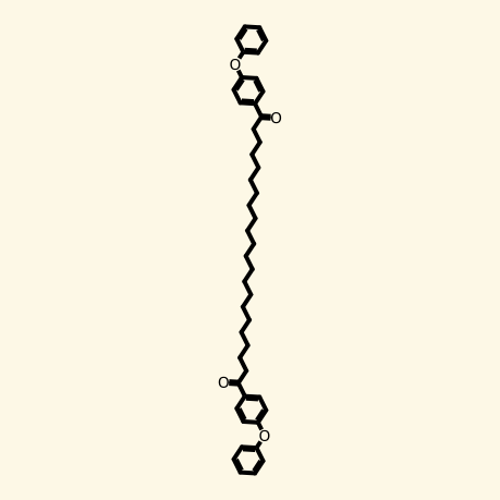 O=C(CCCCCCCCCCCCCCCCCCCCC(=O)c1ccc(Oc2ccccc2)cc1)c1ccc(Oc2ccccc2)cc1